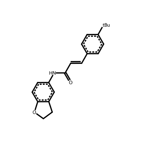 CC(C)(C)c1ccc(/C=C/C(=O)Nc2ccc3c(c2)CCO3)cc1